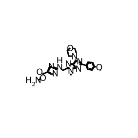 COc1ccc(-c2nc(N3CCOCC3)c3nc(CNc4ncc(C(=O)ON)cn4)n(C)c3n2)cc1